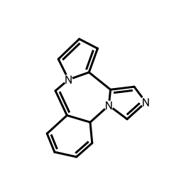 C1=CC2=Cn3cccc3-c3cncn3C2C=C1